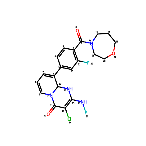 O=C(c1ccc(C2=CC=CN3C(=O)C(Cl)=C(NF)NC23)cc1F)N1CCCOCC1